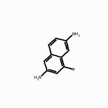 Nc1cc(F)c2cc(N)ccc2c1